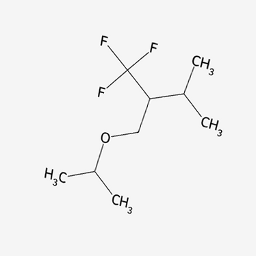 CC(C)OCC(C(C)C)C(F)(F)F